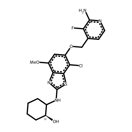 COc1cc(OCc2ccnc(N)c2F)c(Cl)c2sc(NC3CCCC[C@@H]3O)nc12